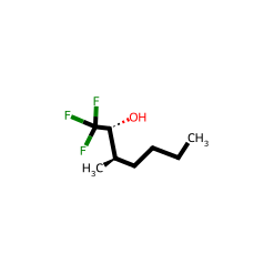 CCCC[C@@H](C)[C@@H](O)C(F)(F)F